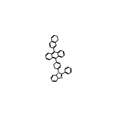 C1=CC2N=C(c3ccccc3)N(C3=CC=C(c4c5ccccc5c(-c5ccc6c(c5)CCC=C6)c5ccccc45)CC3)C2C=C1